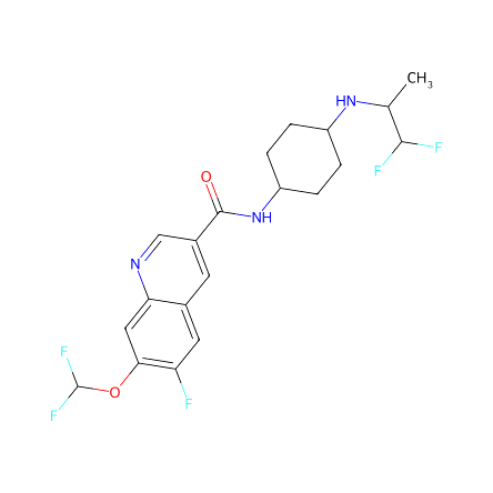 CC(NC1CCC(NC(=O)c2cnc3cc(OC(F)F)c(F)cc3c2)CC1)C(F)F